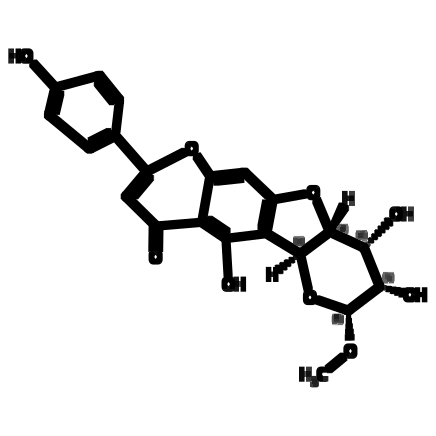 CO[C@@H]1O[C@H]2c3c(cc4oc(-c5ccc(O)cc5)cc(=O)c4c3O)O[C@@H]2[C@H](O)[C@@H]1O